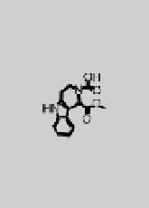 COC(=O)C1c2c([nH]c3ccccc23)CCN1C(=O)O